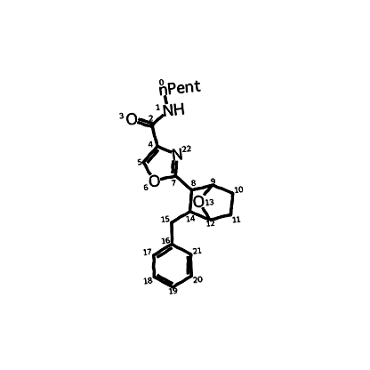 CCCCCNC(=O)c1coc(C2C3CCC(O3)C2Cc2ccccc2)n1